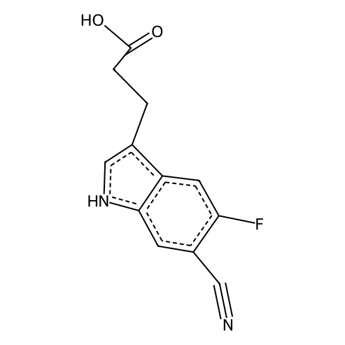 N#Cc1cc2[nH]cc(CCC(=O)O)c2cc1F